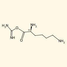 N=C(N)OC(=O)[C@@H](N)CCCCN